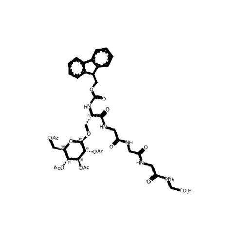 CC(=O)OC[C@H]1O[C@@H](OC[C@H](NC(=O)OCC2c3ccccc3-c3ccccc32)C(=O)NCC(=O)NCC(=O)NCC(=O)NCC(=O)O)[C@H](OC(C)=O)[C@@H](OC(C)=O)[C@@H]1OC(C)=O